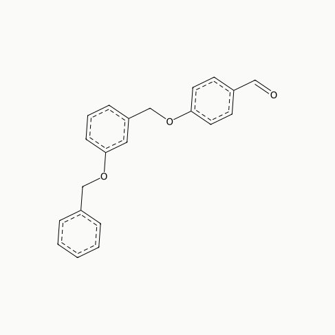 O=Cc1ccc(OCc2cccc(OCc3ccccc3)c2)cc1